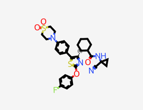 N#CC1(NC(=O)C2CCCC[C@H]2c2nc(Oc3ccc(F)cc3)sc2-c2ccc(N3CCS(=O)(=O)CC3)cc2)CC1